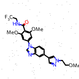 COCCn1cc(-c2ccc3c(c2)ncn3-c2cc(OC)c(C(=O)NCC(F)(F)F)c(OC)c2)cn1